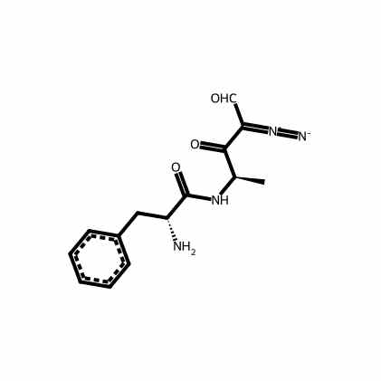 C[C@@H](NC(=O)[C@H](N)Cc1ccccc1)C(=O)C(C=O)=[N+]=[N-]